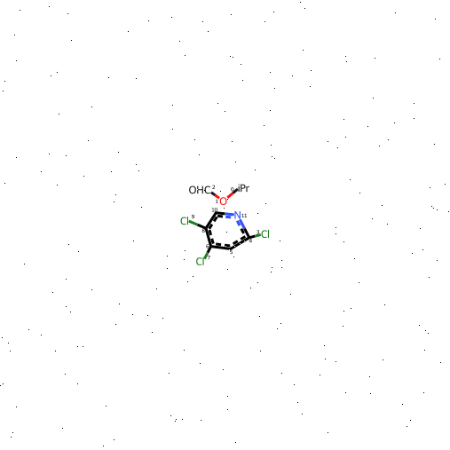 CC(C)OC=O.Clc1cc(Cl)c(Cl)cn1